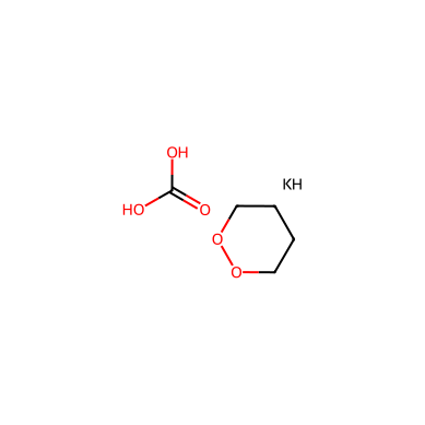 C1CCOOC1.O=C(O)O.[KH]